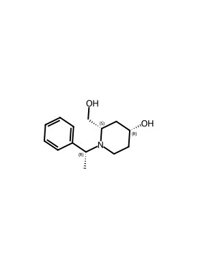 C[C@H](c1ccccc1)N1CC[C@@H](O)C[C@H]1CO